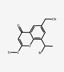 CCSc1cc(=O)c2cc(CC#N)cc(C(C)Br)c2o1